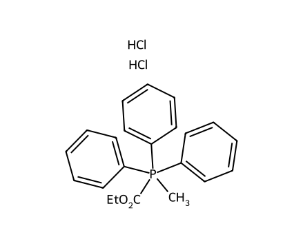 CCOC(=O)P(C)(c1ccccc1)(c1ccccc1)c1ccccc1.Cl.Cl